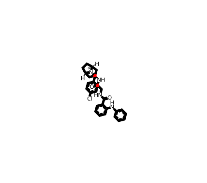 O=C(CNC(=O)c1ccccc1Nc1ccccc1)N[C@H]1C[C@H]2CC[C@@H](C1)N2Cc1ccc(Cl)cc1